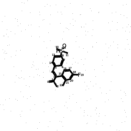 C=C(C)/C(=C/c1ccc([SH](C)(C)=O)cc1)c1ccc(F)cc1C